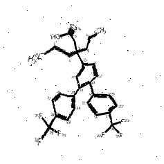 CCCC(CCC)(C(=O)O)c1ccc(-c2ccc(C(F)(F)F)cc2)c(-c2ccc(C(F)(F)F)cc2)c1